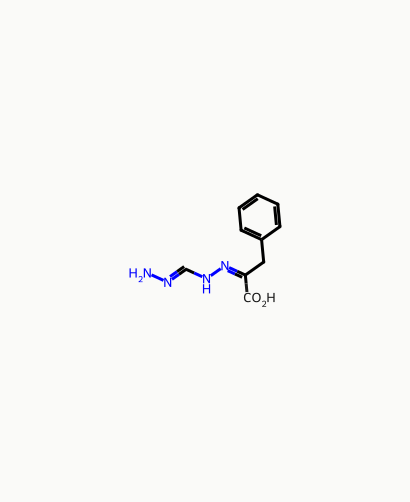 NN=CNN=C(Cc1ccccc1)C(=O)O